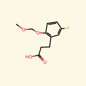 COCOc1ccc(F)cc1CCC(=O)O